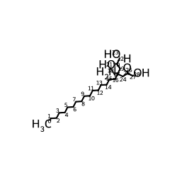 CCCCCCCCCCCCCCCCCC(N)(CC(O)CO)CC(O)CO